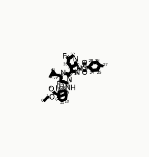 CCOC(=O)[C@H]1C2CCC(CC2)[C@@H]1Nc1nc(-c2nn(S(=O)(=O)c3ccc(C)cc3)c3ncc(F)cc23)nc(C2CC2)c1F